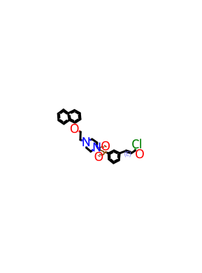 O=C(Cl)/C=C/c1cccc(S(=O)(=O)N2CCN(CCOc3cccc4ccccc34)CC2)c1